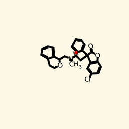 CN(CC1OCCc2ccccc21)C(=O)CC1(c2ccccc2)C(=O)Oc2ccc(Cl)cc21